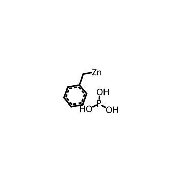 OP(O)O.[Zn][CH2]c1ccccc1